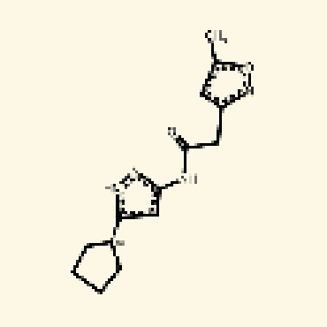 Cc1cc(CC(=O)Nc2cc([C@H]3C[CH]CC3)[nH]n2)no1